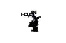 C#C\C(=C/C=C(C)/C=C(/C#N)C(=O)O)c1ccc(C=C(c2cc(C)cc(C)c2)c2cc(C)cc(C)c2)cc1